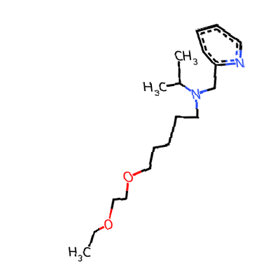 CCOCCOCCCCCN(Cc1ccccn1)C(C)C